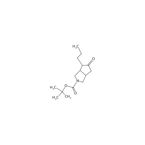 CCCC1C(=O)CC2CN(C(=O)OC(C)(C)C)CC21